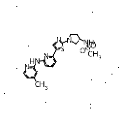 Cc1ccnc(Nc2cccc(-c3cnc(N4CCC(NS(C)(=O)=O)C4)s3)n2)c1